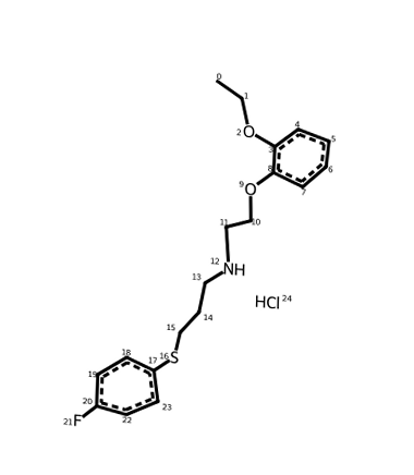 CCOc1ccccc1OCCNCCCSc1ccc(F)cc1.Cl